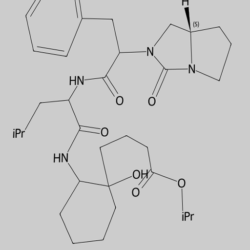 CC(C)CC(NC(=O)C(Cc1ccccc1)N1C[C@@H]2CCCN2C1=O)C(=O)NC1CCCCC1(O)CCCC(=O)OC(C)C